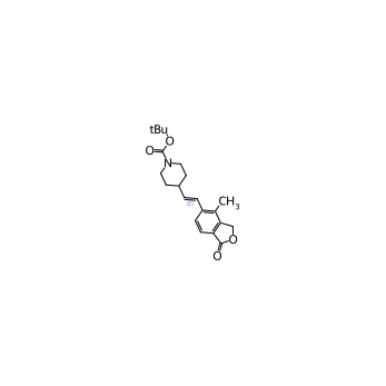 Cc1c(/C=C/C2CCN(C(=O)OC(C)(C)C)CC2)ccc2c1COC2=O